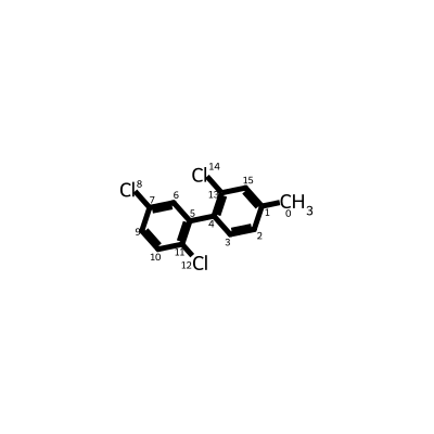 Cc1ccc(-c2cc(Cl)ccc2Cl)c(Cl)c1